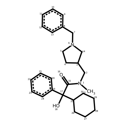 CN(CC1CCN(Cc2ccccc2)C1)C(=O)C(O)(c1ccccc1)C1CCCCC1